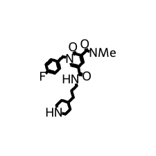 CNC(=O)c1cc(C(=O)NCCCC2CCNCC2)cn(Cc2ccc(F)cc2)c1=O